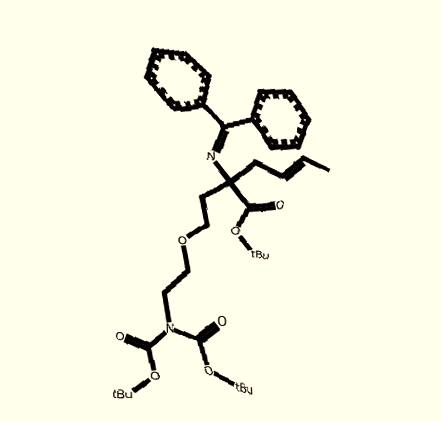 C/C=C/CC(CCOCCN(C(=O)OC(C)(C)C)C(=O)OC(C)(C)C)(N=C(c1ccccc1)c1ccccc1)C(=O)OC(C)(C)C